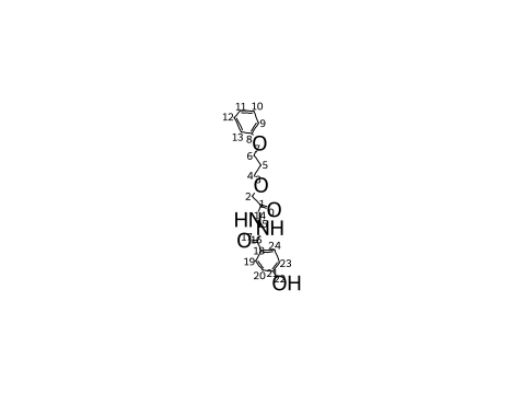 O=C(COCCCOc1ccccc1)NNC(=O)c1ccc(O)cc1